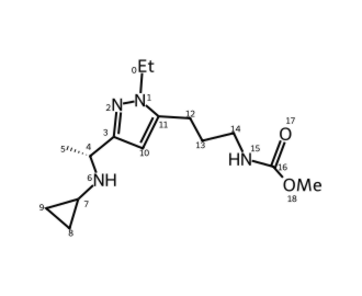 CCn1nc([C@@H](C)NC2CC2)cc1CCCNC(=O)OC